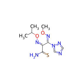 CO/N=C(\C(=N/OC(C)C)C(N)=S)n1cncn1